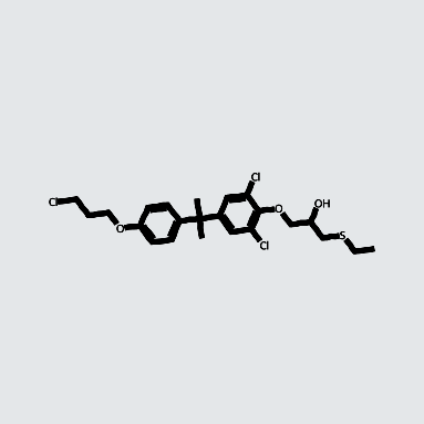 CCSCC(O)COc1c(Cl)cc(C(C)(C)c2ccc(OCCCCl)cc2)cc1Cl